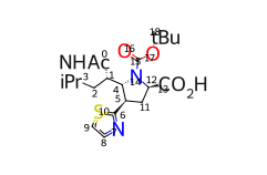 CC(=O)N[C@@H](CC(C)C)[C@H]1[C@H](c2nccs2)C[C@H](C(=O)O)N1C(=O)OC(C)(C)C